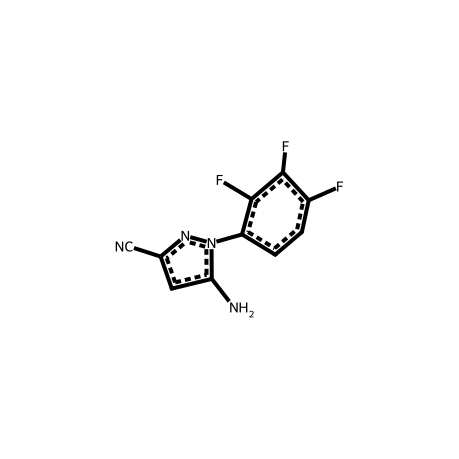 N#Cc1cc(N)n(-c2ccc(F)c(F)c2F)n1